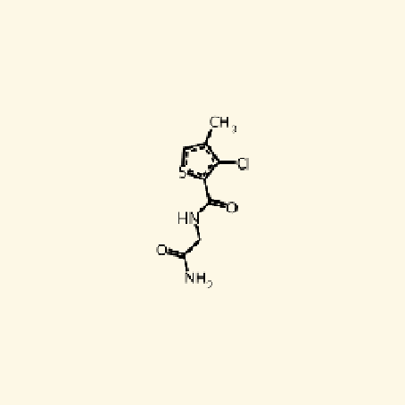 Cc1csc(C(=O)NCC(N)=O)c1Cl